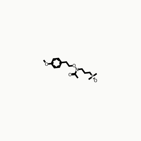 COc1ccc(CCON(CCCP(C)(C)=O)C(C)=O)cc1